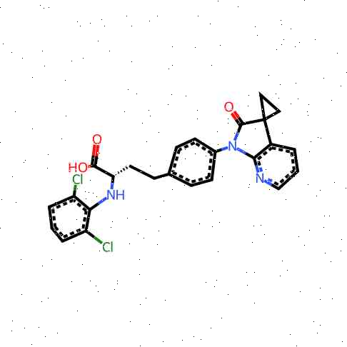 O=C(O)[C@H](CCc1ccc(N2C(=O)C3(CC3)c3cccnc32)cc1)Nc1c(Cl)cccc1Cl